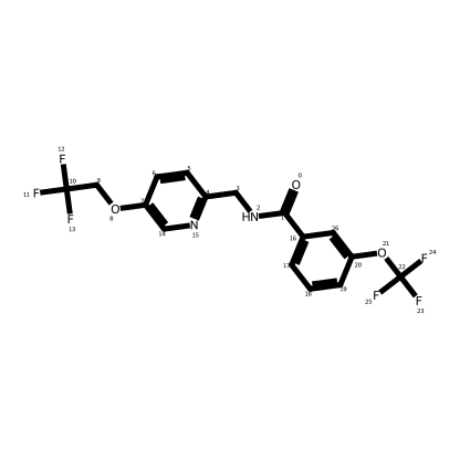 O=C(NCc1ccc(OCC(F)(F)F)cn1)c1cccc(OC(F)(F)F)c1